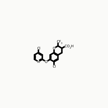 O=C(O)C1Cc2cc(Cl)c(Oc3cc(Cl)ccn3)cc2OC1C(F)(F)F